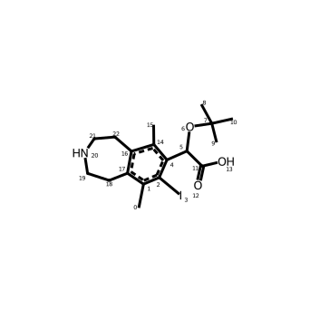 Cc1c(I)c(C(OC(C)(C)C)C(=O)O)c(C)c2c1CCNCC2